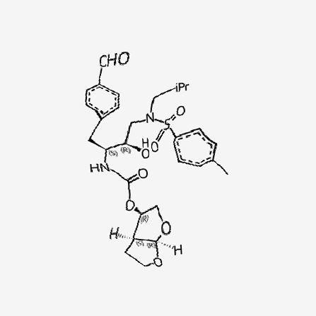 Cc1ccc(S(=O)(=O)N(CC(C)C)C[C@@H](O)[C@H](Cc2ccc(C=O)cc2)NC(=O)O[C@H]2CO[C@H]3OCC[C@H]32)cc1